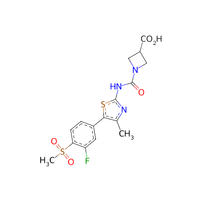 Cc1nc(NC(=O)N2CC(C(=O)O)C2)sc1-c1ccc(S(C)(=O)=O)c(F)c1